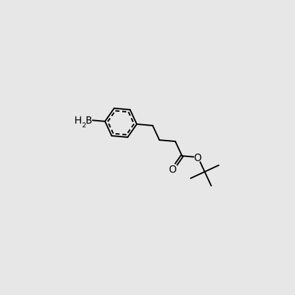 Bc1ccc(CCCC(=O)OC(C)(C)C)cc1